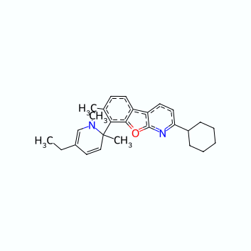 CCC1=CN(C)C(C)(c2c(C)ccc3c2oc2nc(C4CCCCC4)ccc23)C=C1